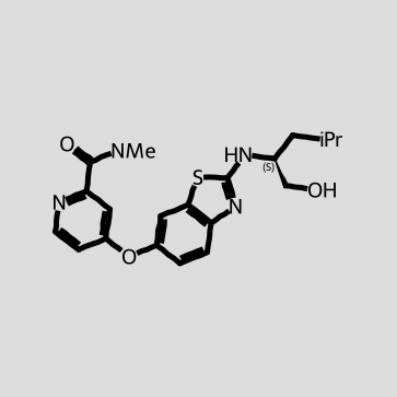 CNC(=O)c1cc(Oc2ccc3nc(N[C@H](CO)CC(C)C)sc3c2)ccn1